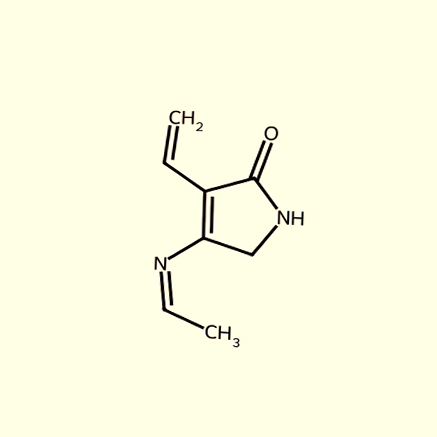 C=CC1=C(/N=C\C)CNC1=O